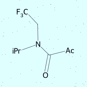 CC(=O)C(=O)N(CC(F)(F)F)C(C)C